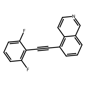 Fc1cccc(F)c1C#Cc1cccc2cnccc12